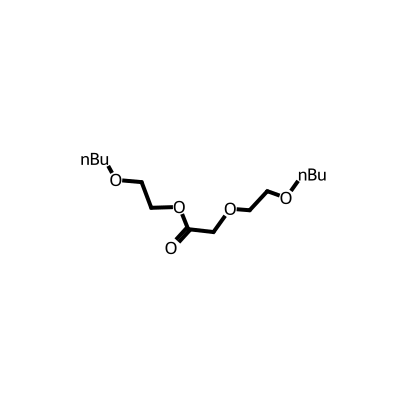 CCCCOCCOCC(=O)OCCOCCCC